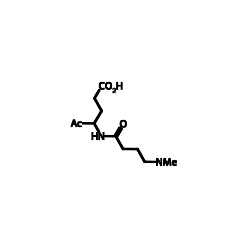 CNCCCC(=O)NC(CCC(=O)O)C(C)=O